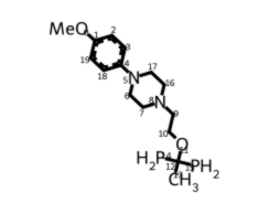 COc1ccc(N2CCN(CCOC(C)(P)P)CC2)cc1